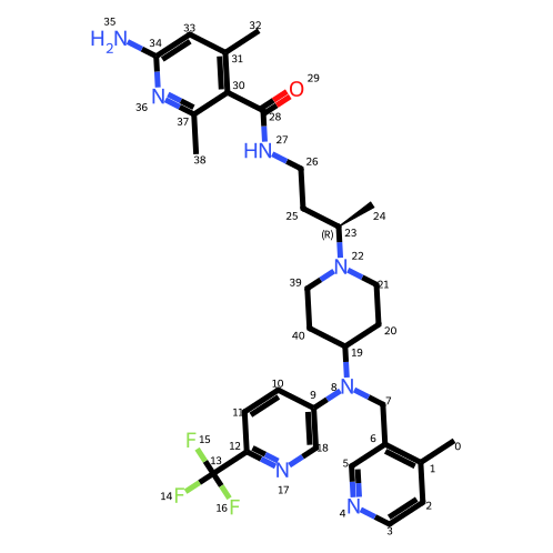 Cc1ccncc1CN(c1ccc(C(F)(F)F)nc1)C1CCN([C@H](C)CCNC(=O)c2c(C)cc(N)nc2C)CC1